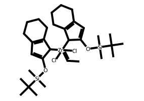 C[CH]=[Zr]([Cl])([Cl])([CH]1C(O[Si](C)(C)C(C)(C)C)=CC2=C1CCCC2)[CH]1C(O[Si](C)(C)C(C)(C)C)=CC2=C1CCCC2